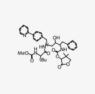 COC(=O)NC(C(=O)NN(Cc1ccc(-c2ccccn2)cc1)CC(O)C(Cc1ccccc1)NC(=O)OC1C(=O)OCC1(C)C)C(C)(C)C